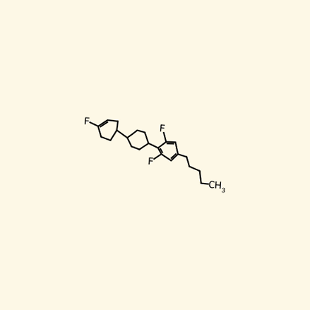 CCCCCc1cc(F)c(C2CCC(C3CC=C(F)CC3)CC2)c(F)c1